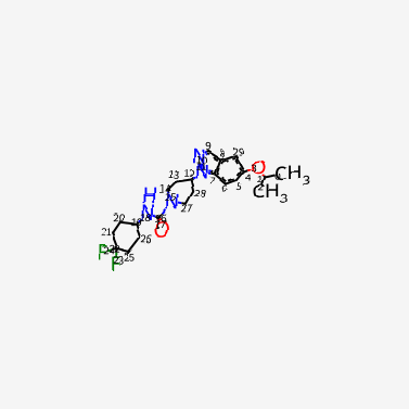 CC(C)Oc1ccc2c(cnn2C2CCN(C(=O)NC3CCC(F)(F)CC3)CC2)c1